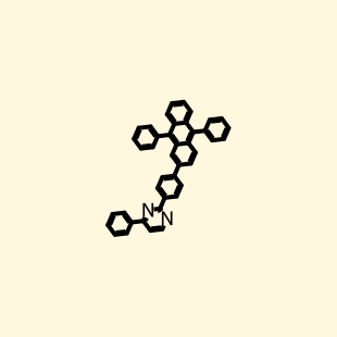 c1ccc(-c2ccnc(-c3ccc(-c4ccc5c(-c6ccccc6)c6ccccc6c(-c6ccccc6)c5c4)cc3)n2)cc1